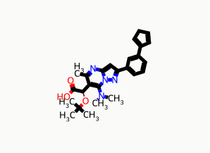 Cc1nc2cc(-c3cccc(C4=CCC=C4)c3)nn2c(N(C)C)c1[C@H](OC(C)(C)C)C(=O)O